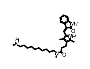 CNCCCCCCCCCCN(C)C(=O)CCc1c(C)[nH]c(/C=C2\C(=O)Nc3ccccc32)c1C